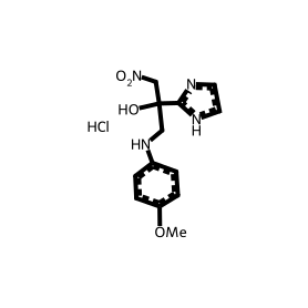 COc1ccc(NCC(O)(C[N+](=O)[O-])c2ncc[nH]2)cc1.Cl